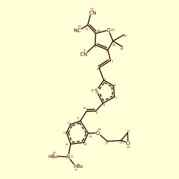 [C-]#[N+]C1=C(/C=C/c2ccc(/C=C/c3ccc(N(CCCC)CCCC)cc3OCC3CO3)s2)C(C)(C)OC1=C(C#N)C#N